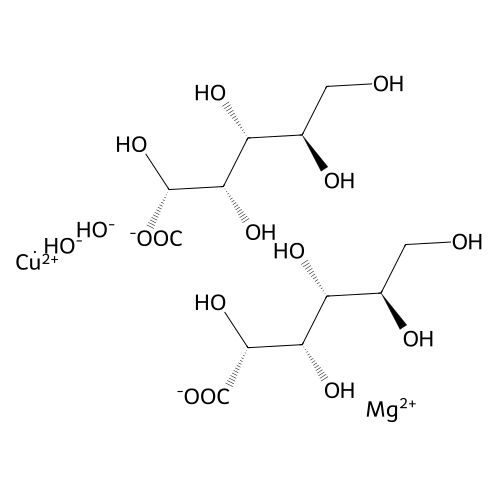 O=C([O-])[C@H](O)[C@@H](O)[C@H](O)[C@H](O)CO.O=C([O-])[C@H](O)[C@@H](O)[C@H](O)[C@H](O)CO.[Cu+2].[Mg+2].[OH-].[OH-]